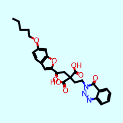 CCCCCOc1ccc2cc(C(=O)CC(CCn3nnc4ccccc4c3=O)(C(=O)O)C(=O)O)oc2c1